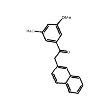 COc1cc(OC)cc(C(=O)Cc2ccc3ccccc3c2)c1